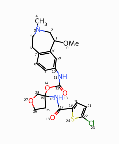 COC1CN(C)CCc2ccc(NC(=O)OC3(NC(=O)c4ccc(Cl)s4)CCOC3)cc21